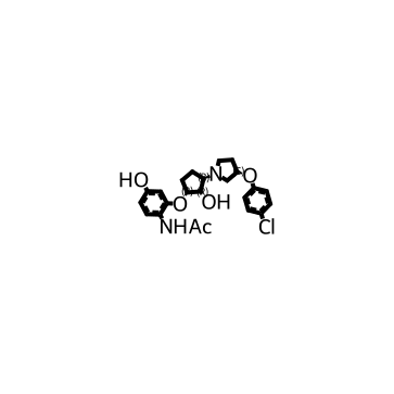 CC(=O)Nc1ccc(O)cc1O[C@@H]1CC[C@@H](N2CC[C@H](Oc3ccc(Cl)cc3)C2)[C@H]1O